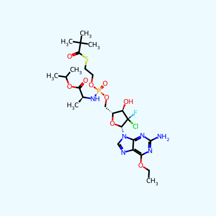 CCOc1nc(N)nc2c1ncn2[C@@H]1O[C@H](CO[P@](=O)(N[C@@H](C)C(=O)OC(C)C)OCCSC(=O)C(C)(C)C)[C@@H](O)[C@]1(F)Cl